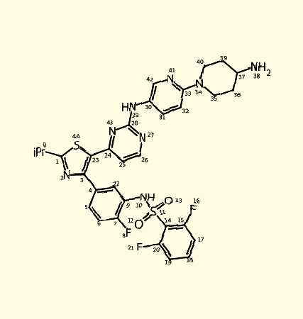 CC(C)c1nc(-c2ccc(F)c(NS(=O)(=O)c3c(F)cccc3F)c2)c(-c2ccnc(Nc3ccc(N4CCC(N)CC4)nc3)n2)s1